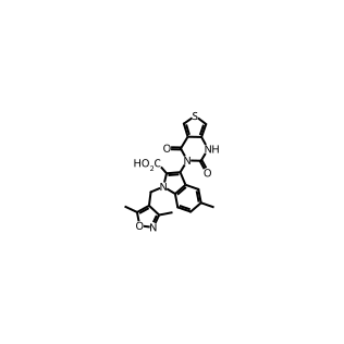 Cc1ccc2c(c1)c(-n1c(=O)[nH]c3cscc3c1=O)c(C(=O)O)n2Cc1c(C)noc1C